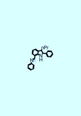 CCCC1c2cccc(/C=N/c3ccccc3)c2NC1c1ccccc1